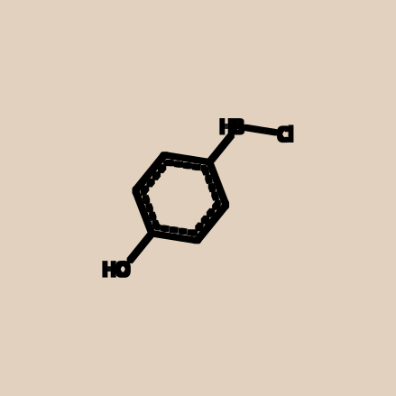 Oc1ccc(BCl)cc1